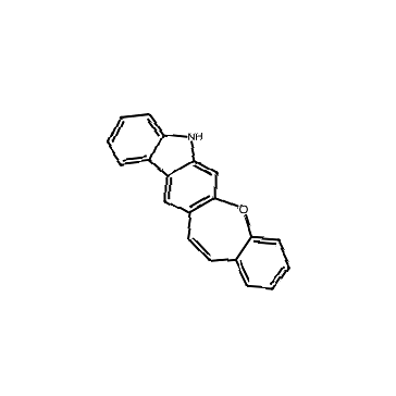 C1=Cc2cc3c(cc2Oc2ccccc21)[nH]c1ccccc13